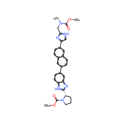 CCCN(Cc1nc(-c2ccc3cc(-c4ccc5[nH]c([C@@H]6CCCN6C(=O)OC(C)(C)C)nc5c4)ccc3c2)c[nH]1)C(=O)OC(C)(C)C